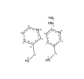 Br.Br.SCc1cccnc1.SCc1cccnc1